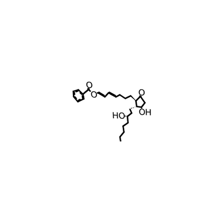 CCCCC[C@H](O)CC[C@H]1[C@H](O)CC(=O)[C@@H]1CCC/C=C/C=C/OC(=O)c1ccccc1